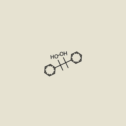 CC(C)(c1ccccc1)C(C)(C)c1ccccc1.OO